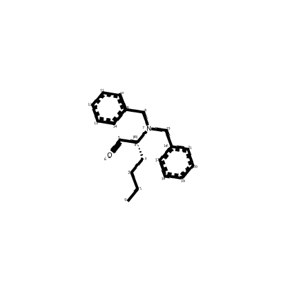 CCCC[C@H](C=O)N(Cc1ccccc1)Cc1ccccc1